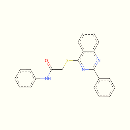 O=C(CSc1nc(-c2ccccc2)nc2ccccc12)Nc1ccccc1